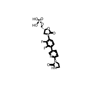 O=C1NCCN1c1ccc(-c2ccc(N3C[C@H](COP(=O)(O)O)OC3=O)c(F)c2F)cn1